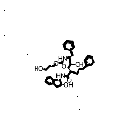 O=C(N[C@@H](Cc1ccccc1)[C@@H](O)C[C@@H](CCCc1ccccc1)C(=O)N[C@H]1c2ccccc2C[C@H]1O)OCCCO